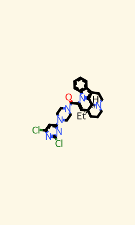 CC[C@@]12C=C(C(=O)N3CCN(c4cc(Cl)nc(Cl)n4)CC3)n3c4c(c5ccccc53)CCN(CCC1)[C@H]42